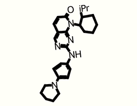 CC(C)C1CCCCC1n1c(=O)ccc2cnc(Nc3ccc(N4CCCCC4)cc3)nc21